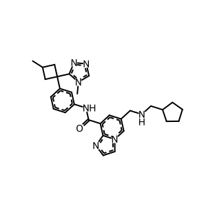 CC1CC(c2cccc(NC(=O)c3cc(CNCC4CCCC4)cn4ccnc34)c2)(c2nncn2C)C1